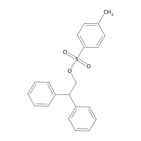 Cc1ccc(S(=O)(=O)OCC(c2ccccc2)c2ccccc2)cc1